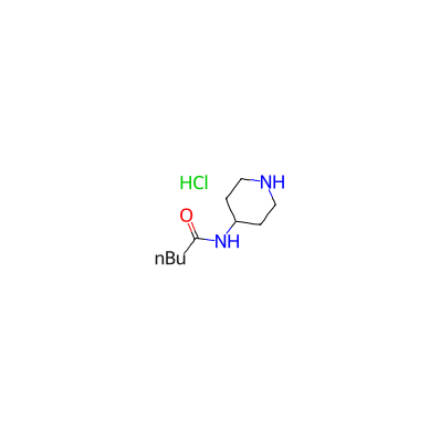 CCCCC(=O)NC1CCNCC1.Cl